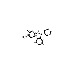 Cc1cc(OC(c2ccccc2)c2ccccc2)ccc1N